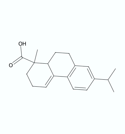 CC(C)c1ccc2c(c1)CCC1C2=CCCC1(C)C(=O)O